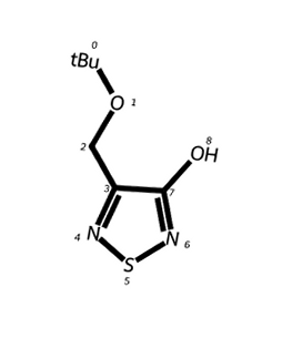 CC(C)(C)OCc1nsnc1O